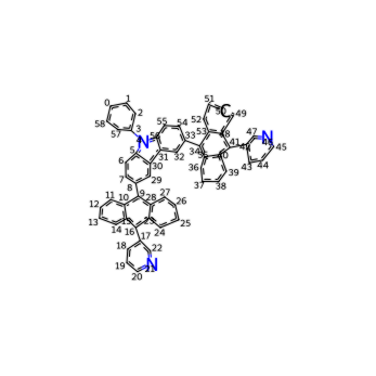 c1ccc(-n2c3ccc(-c4c5ccccc5c(-c5cccnc5)c5ccccc45)cc3c3cc(-c4c5ccccc5c(-c5cccnc5)c5ccccc45)ccc32)cc1